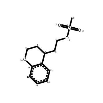 CS(=O)(=O)OCCC1CCOc2ccccc21